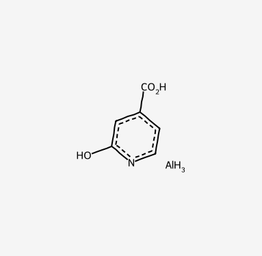 O=C(O)c1ccnc(O)c1.[AlH3]